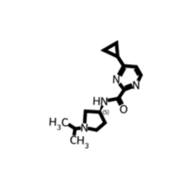 CC(C)N1CC[C@H](NC(=O)c2nccc(C3CC3)n2)C1